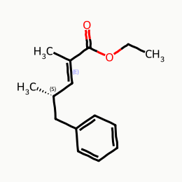 CCOC(=O)/C(C)=C/[C@@H](C)Cc1ccccc1